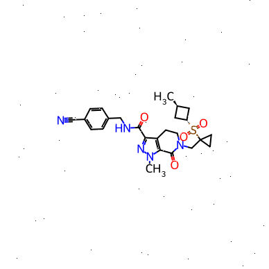 Cn1nc(C(=O)NCc2ccc(C#N)cc2)c2c1C(=O)N(CC1(S(=O)(=O)[C@H]3C[C@H](C)C3)CC1)CC2